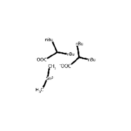 CCCCC(CCCC)C(=O)[O-].CCCCC(CCCC)C(=O)[O-].[CH3][Sn+2][CH3]